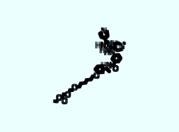 CCOC(=O)COCCOCCCCCCOc1cccc(C(C)NC(=O)c2cccc(NC3(C(=N)NC(=N)c4ccncc4)CCN(C)CC3)c2)c1